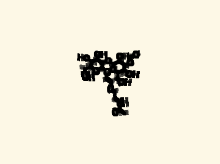 CC(=O)NCCOCCO[C@H]1O[C@@H](CO)[C@@H](O)[C@H](O)[C@@H]1O[C@H]1O[C@H](CO)[C@@H](O)[C@H](OC=O)[C@@H]1O